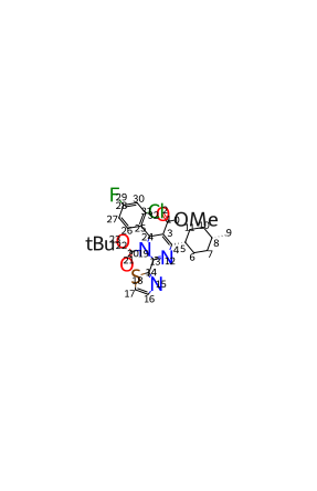 COC(=O)C1=C([C@H]2CC[C@@H](C)CC2)N=C(c2nccs2)N(C(=O)OC(C)(C)C)C1c1ccc(F)cc1Cl